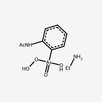 CC(=O)Nc1ccccc1[As](=O)(O)OO.CCN